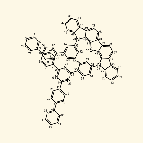 c1ccc(-c2ccc(-c3nc(-c4ccc(-c5ccccc5)cc4)nc(-c4ccc(-n5c6ccccc6c6ccc7c8ccc9c%10ccccc%10n(-c%10cccc(-c%11ccccc%11)c%10)c9c8sc7c65)cc4)n3)cc2)cc1